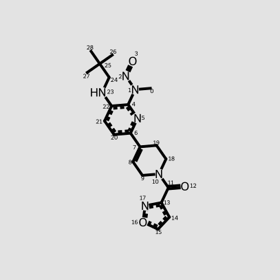 CN(N=O)c1nc(C2=CCN(C(=O)c3ccon3)CC2)ccc1NCC(C)(C)C